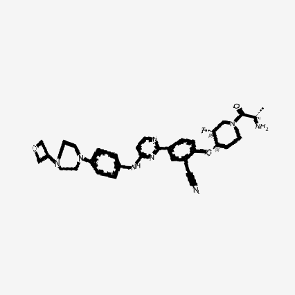 C[C@H](N)C(=O)N1CC[C@H](Oc2ccc(-c3nccc(Nc4ccc(N5CCN(C6COC6)CC5)cc4)n3)cc2C#N)[C@H](F)C1